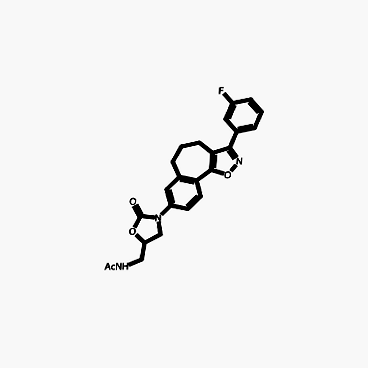 CC(=O)NCC1CN(c2ccc3c(c2)CCCc2c(-c4cccc(F)c4)noc2-3)C(=O)O1